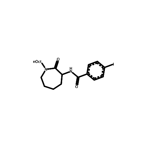 CCCCCCCCN1CCCCC(NC(=O)c2ccc(I)cc2)C1=O